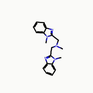 CN(Cc1nc2ccccc2n1C)Cc1nc2ccccc2n1C